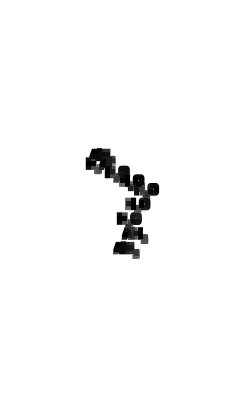 O.O.O.O.O.[AlH3].[AlH3].[AlH3].[AlH3]